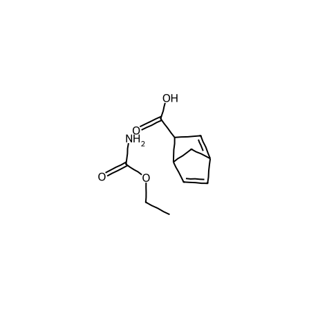 CCOC(N)=O.O=C(O)C1C=C2C=CC1C2